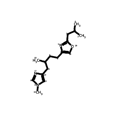 CC(C)Cc1nc(CCC(C)Cc2cn(C)cn2)co1